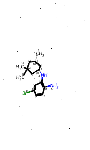 C[C@@H]1C[C@H](Nc2cc(Br)ccc2N)CC(C)(C)C1